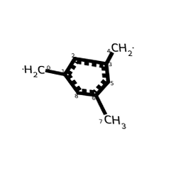 [CH2]c1cc([CH2])cc(C)c1